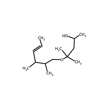 CC=CC(C)C(C)COC(C)(C)CC(C)O